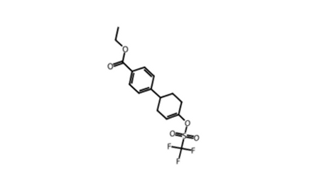 CCOC(=O)c1ccc(C2CC=C(OS(=O)(=O)C(F)(F)F)CC2)cc1